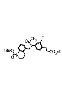 CCOC(=O)CCc1ccc(N(Cc2cccc3c2CCCN3C(=O)OC(C)(C)C)C(=O)C(F)(F)F)cc1F